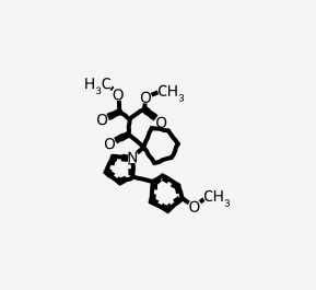 COC(=O)C(C(=O)OC)C(=O)C1(n2cccc2-c2ccc(OC)cc2)CCCCC1